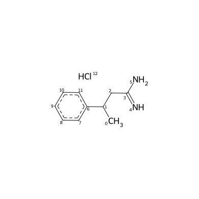 CC(CC(=N)N)c1ccccc1.Cl